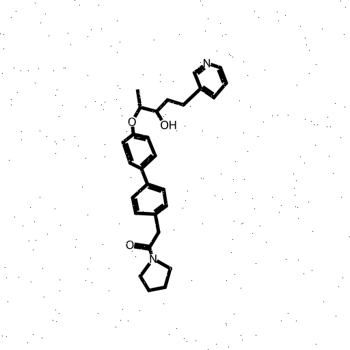 CC(Oc1ccc(-c2ccc(CC(=O)N3CCCC3)cc2)cc1)C(O)CCc1cccnc1